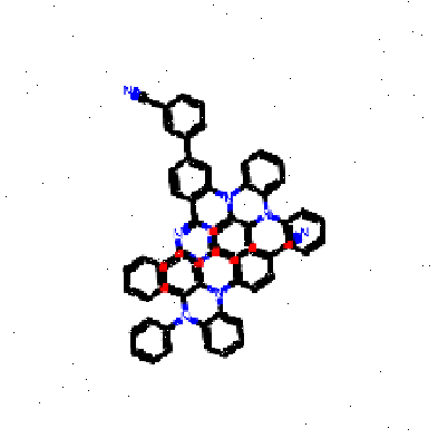 N#Cc1cccc(-c2ccc(-c3nc(-c4ccccc4)nc(-c4cc(C#N)ccc4N4c5ccccc5N(c5ccccc5)c5ccccc54)n3)c(N3c4ccccc4N(c4ccccc4)c4ccccc43)c2)c1